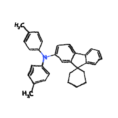 Cc1ccc(N(c2ccc(C)cc2)c2ccc3c(c2)C2(CCCCC2)c2ccccc2-3)cc1